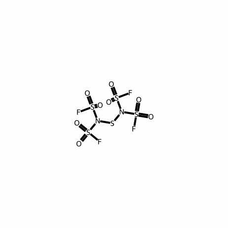 O=S(=O)(F)N(SN(S(=O)(=O)F)S(=O)(=O)F)S(=O)(=O)F